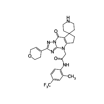 Cc1cc(C(F)(F)F)ccc1NC(=O)Cn1c2c(c(=O)n3nc(C4=CCOCC4)nc13)C1(CCNCC1)CC2